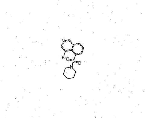 O=S(=O)(c1cccc2cncc(Br)c12)N1CCCCC1